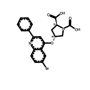 O=C(O)[C@@H]1C[C@@H](Oc2cc(-c3ccccc3)nc3ccc(Br)cc23)CN1C(=O)O